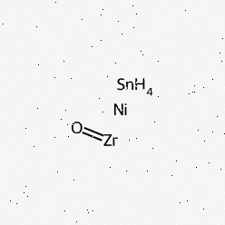 [Ni].[O]=[Zr].[SnH4]